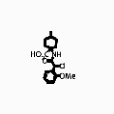 COc1ccccc1C(Cl)C(=O)NC1(C(=O)O)CCC(C)CC1